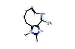 Cc1nc2c(n1C)CCC/C=C/N=C\2N